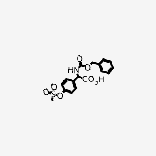 CS(=O)(=O)Oc1ccc(C(NC(=O)OCc2ccccc2)C(=O)O)cc1